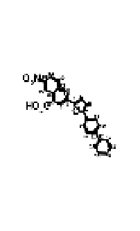 O=C(O)c1cc(-c2ccc(-c3ccc(-c4ccccc4)cc3)o2)nc2ccc([N+](=O)[O-])cc12